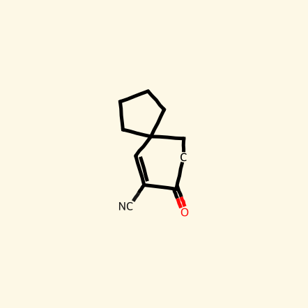 N#CC1=CC2(CCCC2)CCC1=O